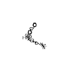 CC(C)(COCCOCCN=[N+]=[N-])NS(=O)(=O)c1ccc(OCc2ccccc2)cc1